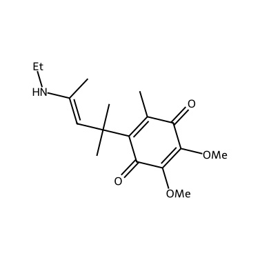 CCN/C(C)=C/C(C)(C)C1=C(C)C(=O)C(OC)=C(OC)C1=O